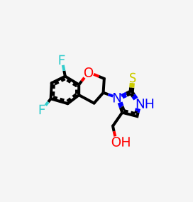 OCc1c[nH]c(=S)n1C1COc2c(F)cc(F)cc2C1